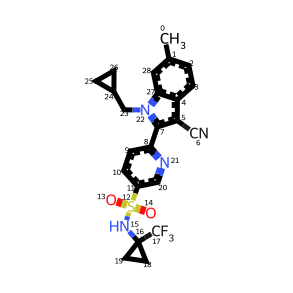 Cc1ccc2c(C#N)c(-c3ccc(S(=O)(=O)NC4(C(F)(F)F)CC4)cn3)n(CC3CC3)c2c1